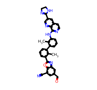 Cc1c(Nc2nccc3cc(C4=NCCN4)cnc23)cccc1-c1cccc(-c2nc3cc(C=O)cc(C#N)c3o2)c1C